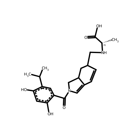 CC(C)c1cc(C(=O)N2C=C3C=CC(CN[C@@H](C)C(=O)O)CC3C2)c(O)cc1O